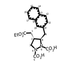 CCOC(=O)C[C@H]1CN(C(=O)O)N(C(=O)O)[C@@H]1Cc1ccc2ccccc2c1